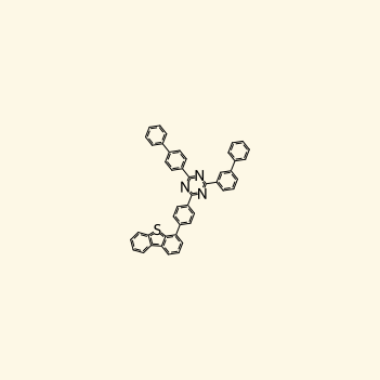 c1ccc(-c2ccc(-c3nc(-c4ccc(-c5cccc6c5sc5ccccc56)cc4)nc(-c4cccc(-c5ccccc5)c4)n3)cc2)cc1